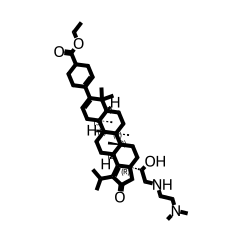 CCOC(=O)C1CC=C(C2=CC[C@]3(C)[C@H]4CC[C@@H]5C6=C(C(C)C)C(=O)C[C@]6(C(O)CNCCN(C)C)CC[C@@]5(C)[C@]4(C)CC[C@H]3C2(C)C)CC1